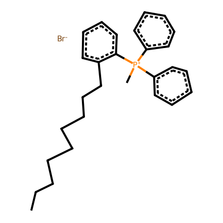 CCCCCCCCCc1ccccc1[P+](C)(c1ccccc1)c1ccccc1.[Br-]